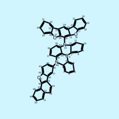 c1ccc2c(c1)B1c3ccccc3N(c3c4oc5ccccc5c4cc4c3oc3ccccc34)c3cccc(c31)N2c1ccc2oc3c4ccccc4ccc3c2c1